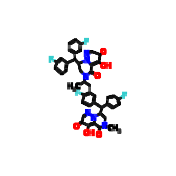 CC(Cc1cc(C(c2ccc(F)cc2)C2CN(C)C(=O)c3c(O)c(=O)cnn32)ccc1F)N1CC(C(c2cccc(F)c2)c2cccc(F)c2)n2ncc(=O)c(O)c2C1=O